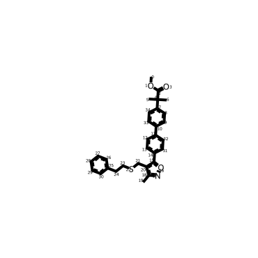 COC(=O)C(C)(C)c1ccc(-c2ccc(-c3onc(C)c3CSCCc3ccccc3)cc2)cc1